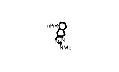 CCCN1CCCC2Cc3nc(NC)ncc3CC21